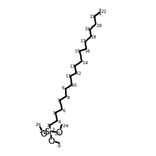 CO[Si](CCCCCCCCCCCCCCCCCCCI)(OC)OC